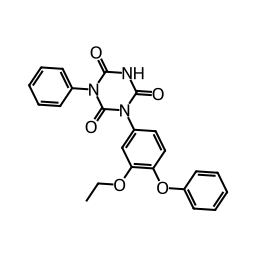 CCOc1cc(-n2c(=O)[nH]c(=O)n(-c3ccccc3)c2=O)ccc1Oc1ccccc1